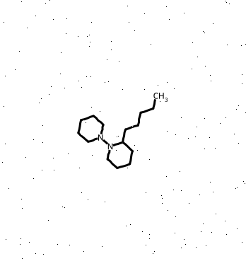 CCCCCC1CCCCN1N1CCCCC1